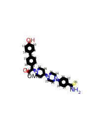 COC(=O)C(c1ccc(-c2ccc(O)cc2)cc1)N1CCC(N2CCN(c3ccc(C(N)=S)cc3)CC2)CC1